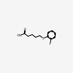 O=NC(=O)CCCCSc1ccccc1F